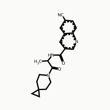 CC(NC(=O)c1cnc2ccc(C#N)cc2c1)C(=O)N1CCC2(CC1)CC2